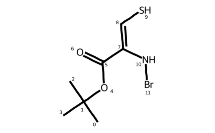 CC(C)(C)OC(=O)/C(=C/S)NBr